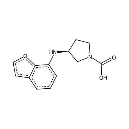 O=C(O)N1CC[C@H](Nc2cccc3ccoc23)C1